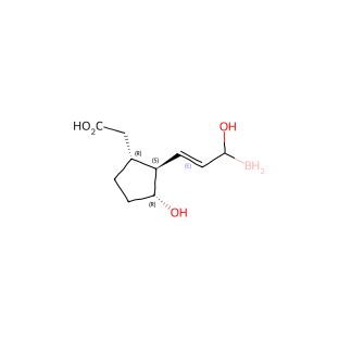 BC(O)/C=C/[C@@H]1[C@@H](CC(=O)O)CC[C@H]1O